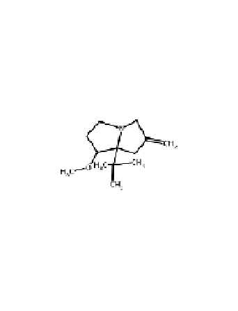 C=C1CN2CCC(OC)C2(C(C)(C)C)C1